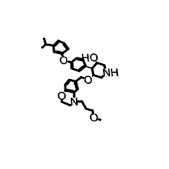 COCCCN1CCOc2ccc(CO[C@H]3CNC[C@@H](O)[C@@H]3c3ccc(Oc4cccc(C(C)C)c4)cc3)cc21